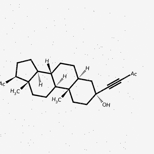 CC(=O)C#C[C@@]1(O)CC[C@@]2(C)[C@@H](CC[C@@H]3[C@@H]2CC[C@]2(C)[C@@H](C(C)=O)CC[C@@H]32)C1